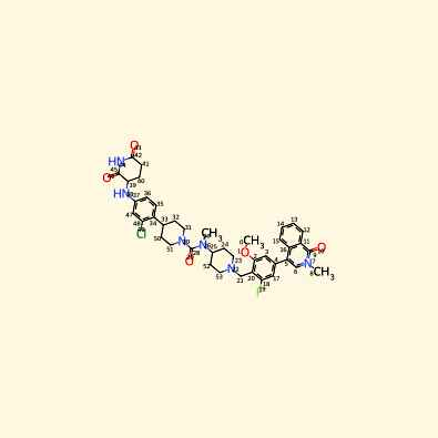 COc1cc(-c2cn(C)c(=O)c3ccccc23)cc(F)c1CN1CCC(N(C)C(=O)N2CCC(c3ccc(NC4CCC(=O)NC4=O)cc3Cl)CC2)CC1